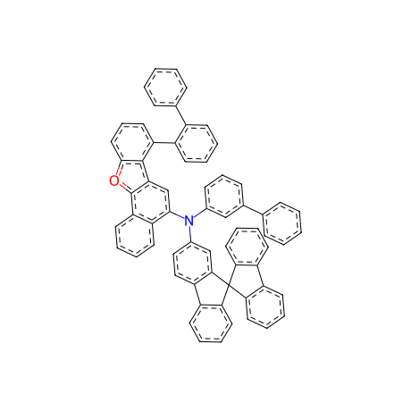 c1ccc(-c2cccc(N(c3ccc4c(c3)C3(c5ccccc5-c5ccccc53)c3ccccc3-4)c3cc4c(oc5cccc(-c6ccccc6-c6ccccc6)c54)c4ccccc34)c2)cc1